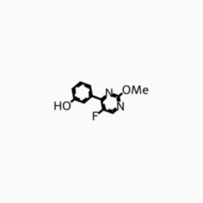 COc1ncc(F)c(-c2cccc(O)c2)n1